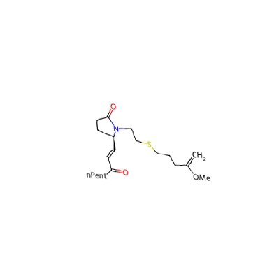 C=C(CCCSCCN1C(=O)CC[C@@H]1/C=C/C(=O)CCCCC)OC